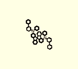 C1=CCCC(C2=CC=CC(N(c3ccccc3)c3cccc4c3C3C=CC=CC3C43c4ccccc4-c4ccc(N(C5=CC(c6ccccc6)=CCC5)c5ccccc5)cc43)C2)=C1